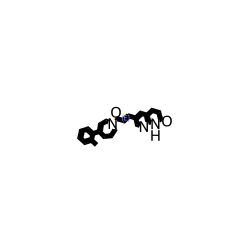 Cc1ccccc1C1=CCN(C(=O)/C=C/c2cnc3c(c2)CCC(=O)N3)CCC1